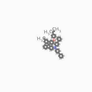 CCC(C)c1ccc(Oc2ccc(C3(c4ccc(C)cc4)c4ccccc4-c4ccc(N(c5ccc(-c6ccccc6)cc5)c5ccc(-c6ccccc6)cc5)cc43)cc2)cc1